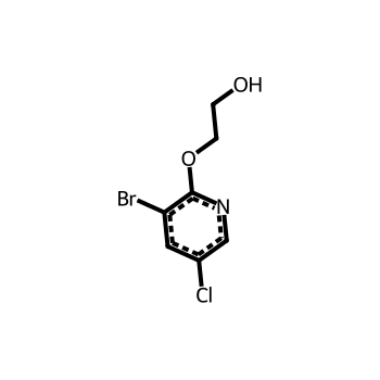 OCCOc1ncc(Cl)cc1Br